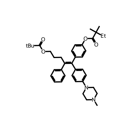 CCC(C)(C)C(=O)Oc1ccc(/C(=C(\CCCOC(=O)C(C)(C)C)c2ccccc2)c2ccc(N3CCN(C)CC3)cc2)cc1